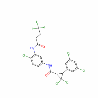 O=C(CCC(F)(F)F)Nc1cc(NC(=O)C2C(c3cc(Cl)cc(Cl)c3)C2(Cl)Cl)ccc1Cl